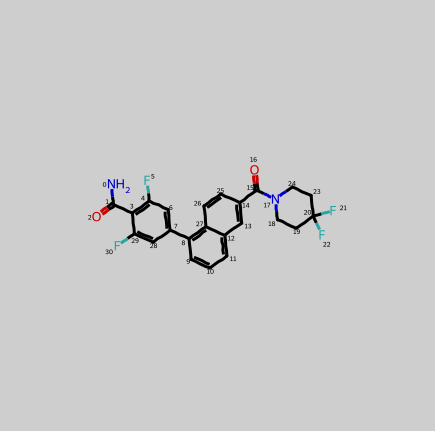 NC(=O)c1c(F)cc(-c2cccc3cc(C(=O)N4CCC(F)(F)CC4)ccc23)cc1F